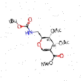 COC(=O)C1=COC(CNC(=O)OC(C)(C)C)[C@H](OC(C)=O)[C@@H]1OC(C)=O